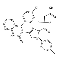 Cc1ccc([C@H]2CC(c3c(-c4ccc(Cl)cc4)c4cccnc4[nH]c3=O)=NN2C(=O)C(F)(F)CC(=O)O)cc1